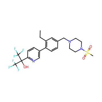 CCc1cc(CN2CCN(S(C)(=O)=O)CC2)ccc1-c1ccc(C(O)(C(F)(F)F)C(F)(F)F)nc1